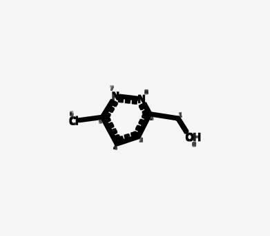 OCc1ccc(Cl)nn1